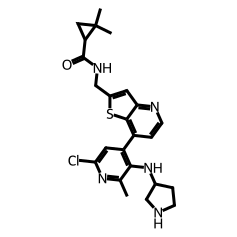 Cc1nc(Cl)cc(-c2ccnc3cc(CNC(=O)C4CC4(C)C)sc23)c1NC1CCNC1